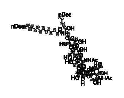 CCCCCCCCCCCCC/C=C/[C@@H](O)[C@H](CO[C@@H]1OC(CO)[C@@H](O[C@@H]2OC(CO)[C@H](O)[C@H](O[C@@H]3OC(CO)[C@@H](O)[C@H](O[C@@H]4OC(CO)[C@H](O)[C@H](O[C@]5(C(=O)O)CC(O)[C@@H](NC(C)=O)C([C@H](O)[C@H](O)CO)O5)C4O)C3NC(C)=O)C2O)[C@H](O)C1O)NC(=O)CCCCCCCCCCCCCCCCCCCCCCC